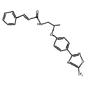 CC(CNC(=O)C=Cc1ccccc1)Oc1ccc(-c2noc(C(F)(F)F)n2)cc1